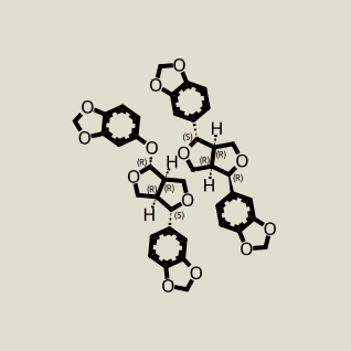 c1cc2c(cc1O[C@H]1OC[C@H]3[C@@H]1CO[C@@H]3c1ccc3c(c1)OCO3)OCO2.c1cc2c(cc1[C@H]1OC[C@H]3[C@@H]1CO[C@H]3c1ccc3c(c1)OCO3)OCO2